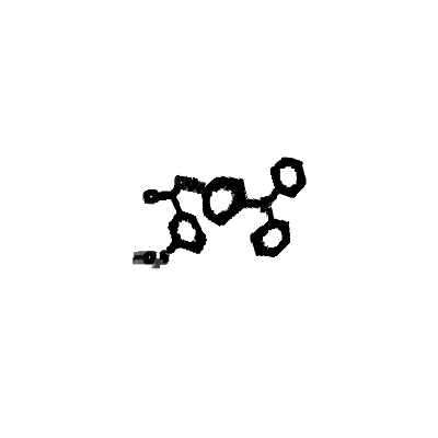 COC(=O)c1cccc(S(=O)(=O)O)c1.c1ccc(P(c2ccccc2)c2ccccc2)cc1